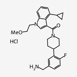 COCCn1cc(C(=O)N2CCC(c3cc(CN)ccc3F)CC2)c2c(C3CC3)cccc21.Cl